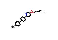 CCC=CCCOc1ccc(-c2ccc(-c3ccc(C#N)cc3)cc2)nc1